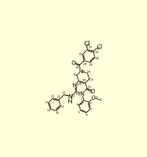 COc1ccccc1-n1c(NCc2ccccc2)nc2c(c1=O)CCN(C(=O)c1ccc(Cl)c(Cl)c1)C2